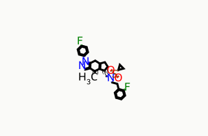 C[C@@H]1C2=C(CC[C@@H]2CN(CCc2ccccc2F)S(=O)(=O)C2CC2)Cc2c1cnn2-c1ccc(F)cc1